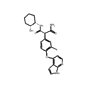 NC(=O)C(C(=O)N[C@H]1CCCC[C@H]1O)c1ccc(Oc2ccnc3[nH]ccc23)c(F)c1